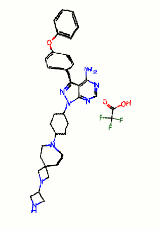 Nc1ncnc2c1c(-c1ccc(Oc3ccccc3)cc1)nn2C1CCC(N2CCC3(CC2)CN(C2CNC2)C3)CC1.O=C(O)C(F)(F)F